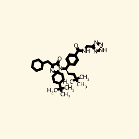 CC(C)(C)CC[C@H](c1ccc(C(=O)NCc2nn[nH]n2)cc1)N1C(=O)C(CC2CCCCC2)=NC12CCC(C(C)(C)C)CC2